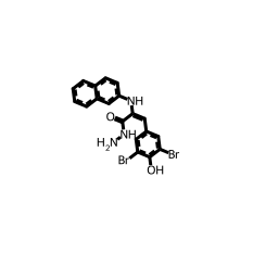 NNC(=O)C(=Cc1cc(Br)c(O)c(Br)c1)Nc1ccc2ccccc2c1